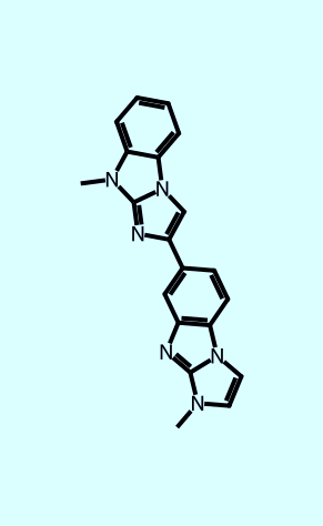 Cn1ccn2c3ccc(-c4cn5c6ccccc6n(C)c5n4)cc3nc12